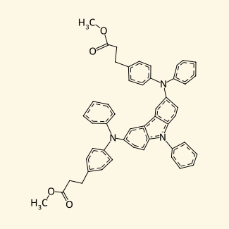 COC(=O)CCc1ccc(N(c2ccccc2)c2ccc3c(c2)c2cc(N(c4ccccc4)c4ccc(CCC(=O)OC)cc4)ccc2n3-c2ccccc2)cc1